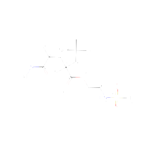 CCC(C)(C#N)CC(C)(CC(C)C(=O)NC(C)(C)C)C(=O)OCCNS(=O)(=O)C(F)(F)F